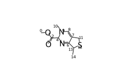 COC(=O)C1N=C2C(=CN1C)CSC2C